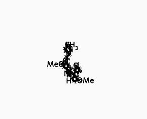 COc1cccc(N(c2cccc(Cl)c2)c2[nH]nc3c2Cc2cc(OCCCN4CCN(C)CC4)c(OC)cc2-3)c1